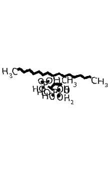 CCCC(O)(P(=O)(O)O)P(=O)(O)O.CCCCCCCCCCCCCCCCC.O